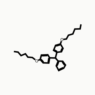 CCCCCCOc1ccc([C](c2ccccc2)c2ccc(OCCCCCC)cc2)cc1